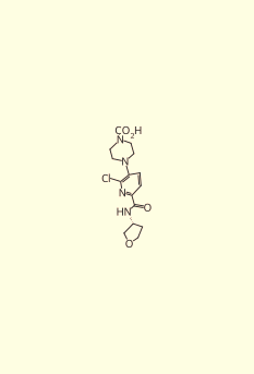 O=C(N[C@@H]1CCOC1)c1ccc(N2CCN(C(=O)O)CC2)c(Cl)n1